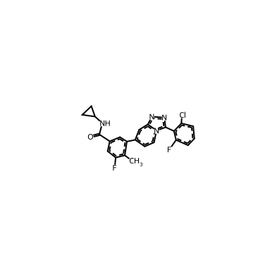 Cc1c(F)cc(C(=O)NC2CC2)cc1-c1ccn2c(-c3c(F)cccc3Cl)nnc2c1